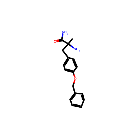 CC(N)(Cc1ccc(OCc2ccccc2)cc1)C(N)=O